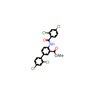 COC(=O)c1cc(-c2ccc(Cl)cc2Cl)ccc1NC(=O)c1ccc(Cl)cc1Cl